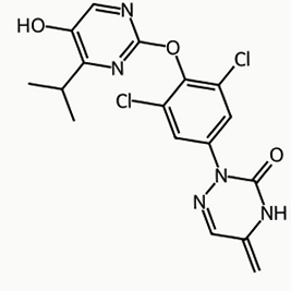 C=C1C=NN(c2cc(Cl)c(Oc3ncc(O)c(C(C)C)n3)c(Cl)c2)C(=O)N1